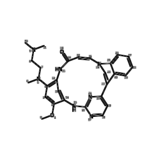 COc1cc(N(C)CCN(C)C)c2cc1Nc1nccc(n1)-c1cn(c3ccccc13)/C=C\C(=O)N2